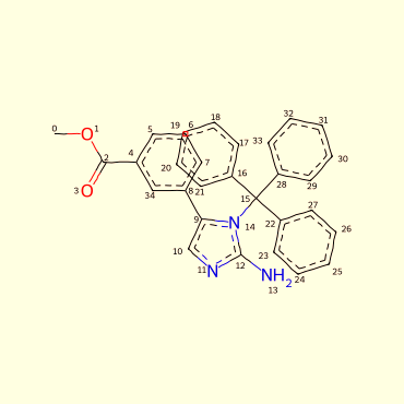 COC(=O)c1cccc(-c2cnc(N)n2C(c2ccccc2)(c2ccccc2)c2ccccc2)c1